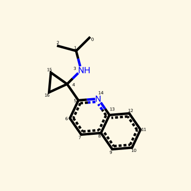 CC(C)NC1(c2ccc3ccccc3n2)CC1